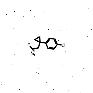 CC(C)[C@H](F)CC1(c2ccc(Cl)cc2)CC1